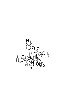 CSCC(N)(C(=O)COc1cccc2cnccc12)C(=O)N[C@@H](Cc1ccccc1)[C@H](O)C(=O)N1CSCC1C(=O)NC(C)(C)C